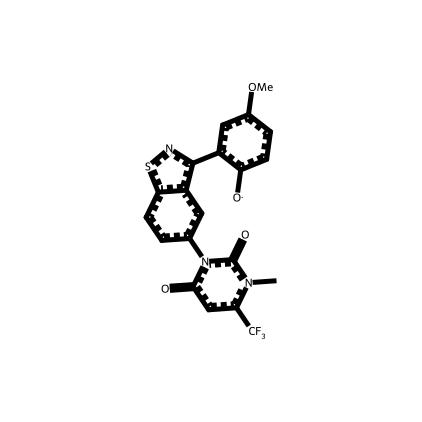 COc1ccc([O])c(-c2nsc3ccc(-n4c(=O)cc(C(F)(F)F)n(C)c4=O)cc23)c1